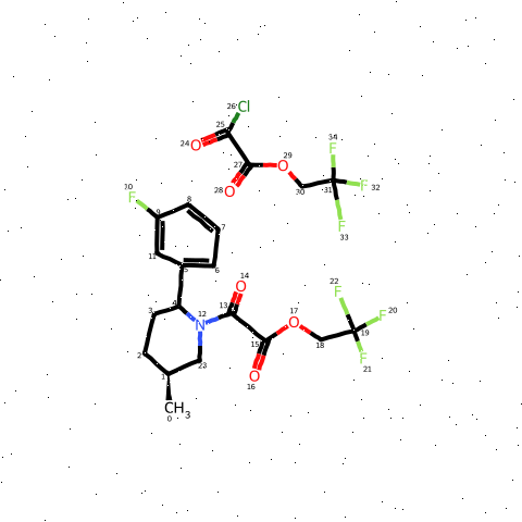 C[C@H]1CCC(c2cccc(F)c2)N(C(=O)C(=O)OCC(F)(F)F)C1.O=C(Cl)C(=O)OCC(F)(F)F